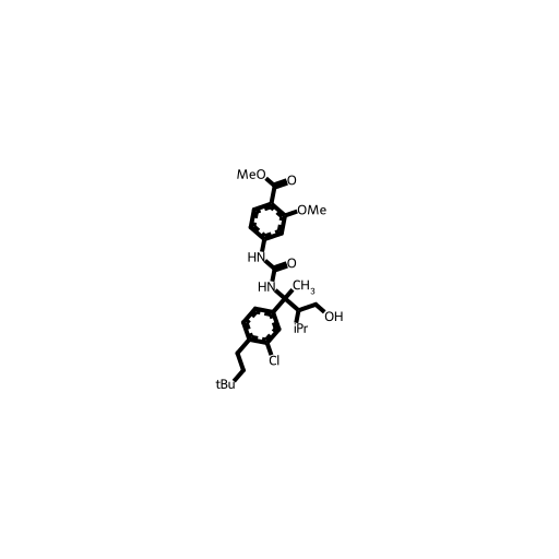 COC(=O)c1ccc(NC(=O)NC(C)(c2ccc(CCC(C)(C)C)c(Cl)c2)C(CO)C(C)C)cc1OC